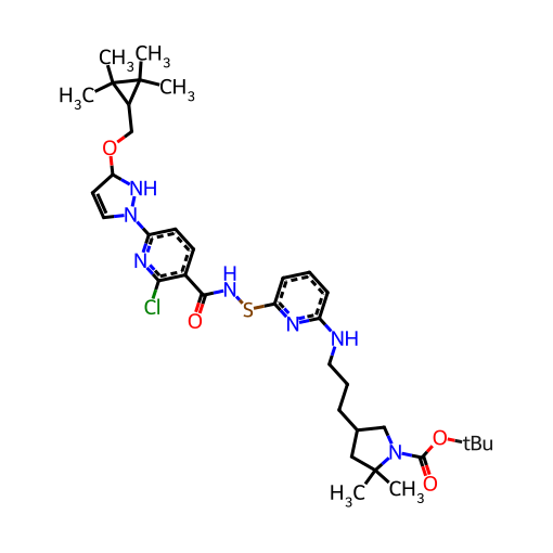 CC(C)(C)OC(=O)N1CC(CCCNc2cccc(SNC(=O)c3ccc(N4C=CC(OCC5C(C)(C)C5(C)C)N4)nc3Cl)n2)CC1(C)C